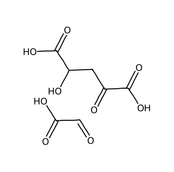 O=C(O)C(=O)CC(O)C(=O)O.O=CC(=O)O